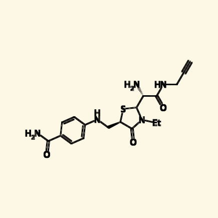 C#CCNC(=O)[C@@H](N)C1S[C@H](CNc2ccc(C(N)=O)cc2)C(=O)N1CC